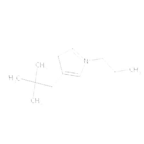 CCC[N+]1=CCC(CC(C)(C)C)=C1